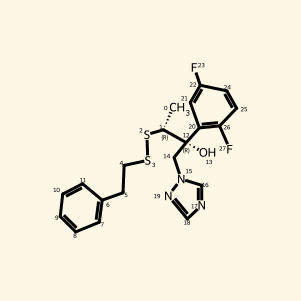 C[C@@H](SSCCc1ccccc1)[C@](O)(Cn1cncn1)c1cc(F)ccc1F